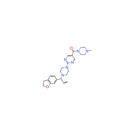 C=CC(c1ccc2c(c1)OCC2)N1CCN(c2ncc(C(=O)N3CCN(C)CC3)cn2)CC1